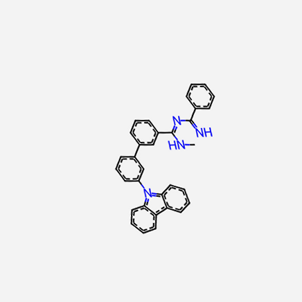 CN/C(=N\C(=N)c1ccccc1)c1cccc(-c2cccc(-n3c4ccccc4c4ccccc43)c2)c1